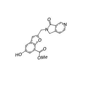 COC(=O)c1cc(O)cc2cc(CN3Cc4ccncc4C3=O)oc12